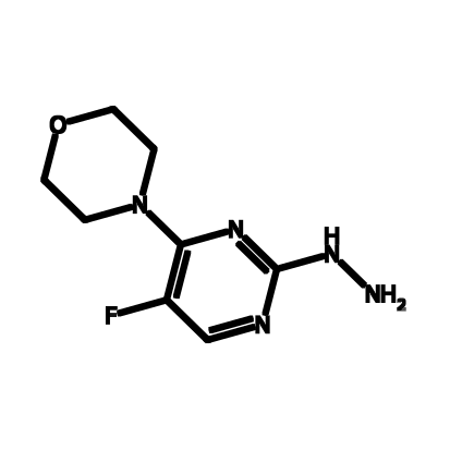 NNc1ncc(F)c(N2CCOCC2)n1